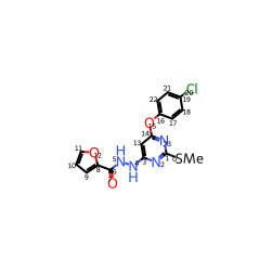 CSc1nc(NNC(=O)c2ccco2)cc(Oc2ccc(Cl)cc2)n1